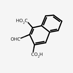 O=Cc1c(C(=O)O)cc2ccccc2c1C(=O)O